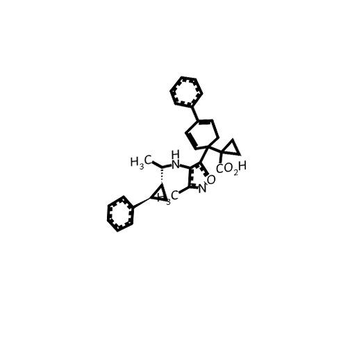 Cc1noc(C2(C3(C(=O)O)CC3)C=CC(c3ccccc3)=CC2)c1NC(C)[C@@H]1C[C@H]1c1ccccc1